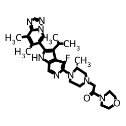 Cc1c(-c2[nH]c3cnc(N4CCN(CC(=O)N5CCOCC5)C[C@H]4C)c(F)c3c2C(C)C)cn2ncnc2c1C